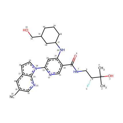 CC(C)(O)[C@H](F)CNC(=O)c1cnc(-n2ccc3cc(C#N)cnc32)cc1NC1CCCC(CO)C1